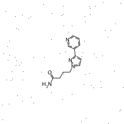 NC(=O)CCCn1ccc(-c2cccnc2)n1